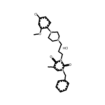 COc1cc(Cl)ccc1N1CCN(CCCn2c(=O)c(C)cn(Cc3ccccc3)c2=O)CC1.Cl